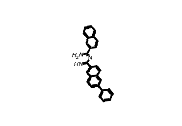 N=C(/N=C(\N)c1ccc2ccccc2c1)c1ccc2cc(-c3ccccc3)ccc2c1